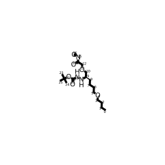 CCCCOCCCC[C@H](COCC(=O)N=O)NNC(=O)OC(C)(C)C